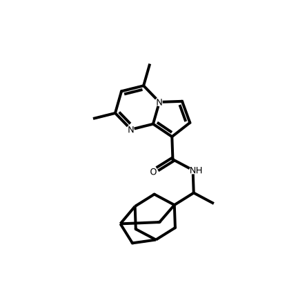 Cc1cc(C)n2ccc(C(=O)NC(C)C34CC5CC(C3)C(C5)C4)c2n1